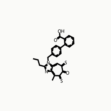 CCCc1nc2c(n1Cc1ccc(-c3ccccc3C(=O)O)cc1)=CC(=S)C(=O)C(=S)C=2C